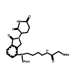 CCCCCN(CCCCNC(=O)CNC)c1cccc2c1CN(C1CCC(=O)NC1=O)C2=O